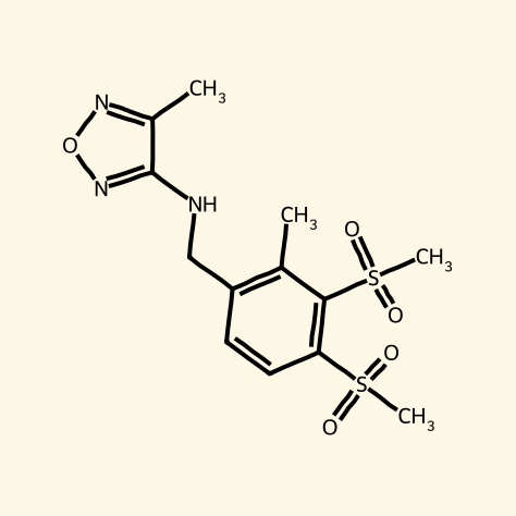 Cc1nonc1NCc1ccc(S(C)(=O)=O)c(S(C)(=O)=O)c1C